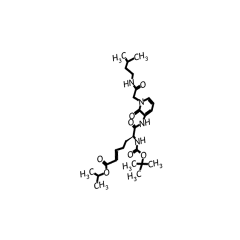 CC(C)CCNC(=O)Cn1cccc(NC(=O)[C@H](CC/C=C/C(=O)OC(C)C)NC(=O)OC(C)(C)C)c1=O